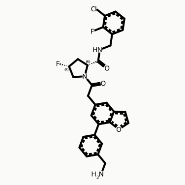 NCc1cccc(-c2cc(CC(=O)N3C[C@H](F)C[C@@H]3C(=O)NCc3cccc(Cl)c3F)cc3ccoc23)c1